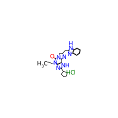 CCCN1C(=O)N2CC(Cc3nc4ccccc4[nH]3)N=C2c2[nH]c(C3CCCC3)nc21.Cl